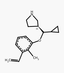 C=Cc1cccc(OC(C2CC2)[C@H]2CCNC2)c1C